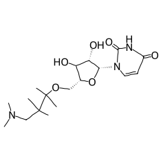 CN(C)CC(C)(C)C(C)(C)OC[C@H]1O[C@@H](n2ccc(=O)[nH]c2=O)[C@@H](O)C1O